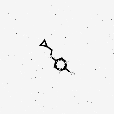 Nc1ncc(OCC2CC2)cn1